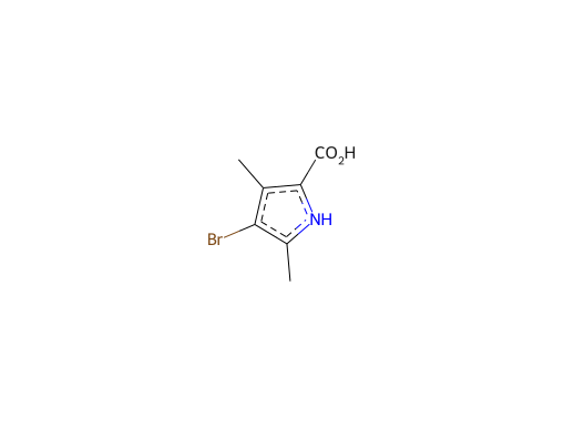 Cc1[nH]c(C(=O)O)c(C)c1Br